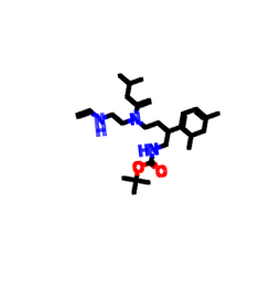 C=CNCCN(CCC(CNC(=O)OC(C)(C)C)C1=CC=C(C)CC1C)C(=C)CC(C)C